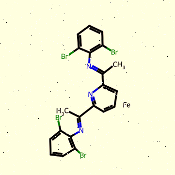 CC(=Nc1c(Br)cccc1Br)c1cccc(C(C)=Nc2c(Br)cccc2Br)n1.[Fe]